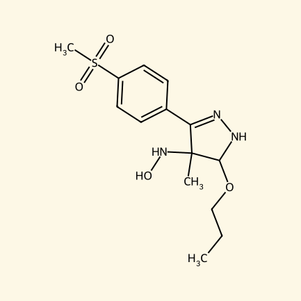 CCCOC1NN=C(c2ccc(S(C)(=O)=O)cc2)C1(C)NO